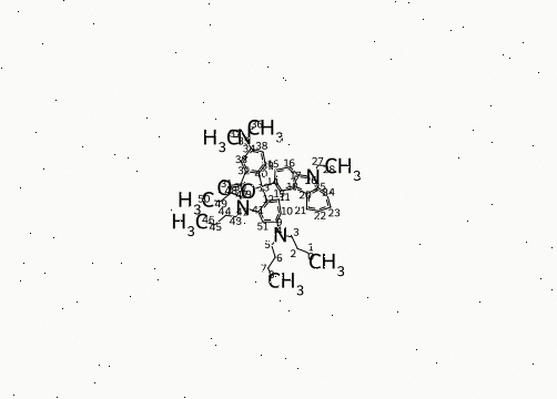 CCCCN(CCCC)c1ccc(C2(c3ccc4c(c3)c3ccccc3n4CC)OC(=O)c3cc(N(C)C)ccc32)c(N(CCCC)CCCC)c1